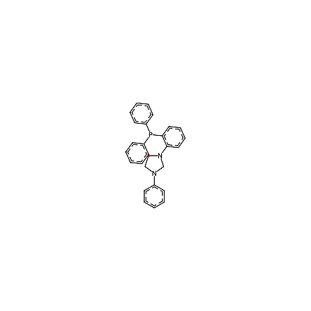 c1ccc(N2CCN(c3ccccc3P(c3ccccc3)c3ccccc3)C2)cc1